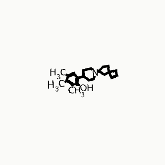 Cc1cc(C2CCN([C@@H]3CCC4(CCC4)C3)CC2)c(O)c(C)c1C